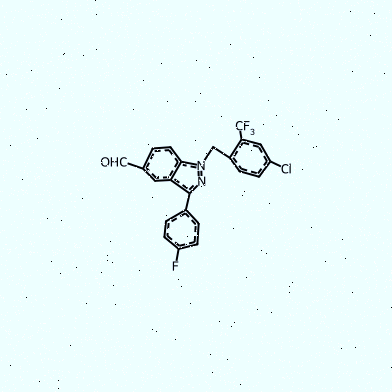 O=Cc1ccc2c(c1)c(-c1ccc(F)cc1)nn2Cc1ccc(Cl)cc1C(F)(F)F